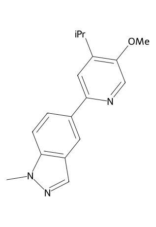 COc1cnc(-c2ccc3c(cnn3C)c2)cc1C(C)C